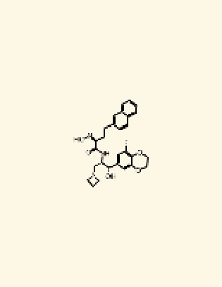 O=C(N[C@H](CN1CCC1)[C@@H](O)c1cc(F)c2c(c1)OCCO2)/C(CCc1ccc2ccccc2c1)=N\O